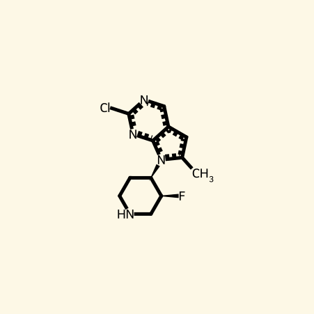 Cc1cc2cnc(Cl)nc2n1[C@@H]1CCNC[C@@H]1F